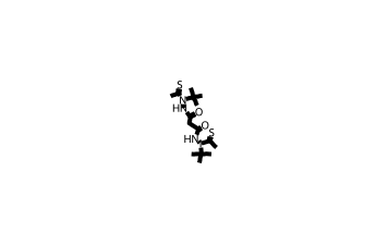 CC(=S)N(NC(=O)CC(=O)NI(C(C)=S)C(C)(C)C)C(C)(C)C